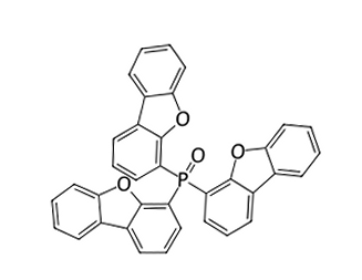 O=P(c1cccc2c1oc1ccccc12)(c1cccc2c1oc1ccccc12)c1cccc2c1oc1ccccc12